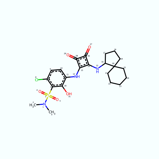 CN(C)S(=O)(=O)c1c(Cl)ccc(Nc2c(NC3CCCC34CCCCC4)c(=O)c2=O)c1O